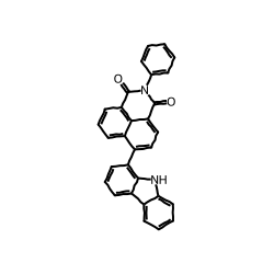 O=C1c2cccc3c(-c4cccc5c4[nH]c4ccccc45)ccc(c23)C(=O)N1c1ccccc1